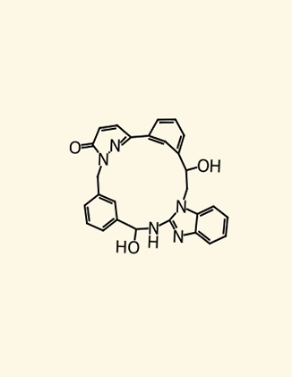 O=c1ccc2nn1Cc1cccc(c1)C(O)Nc1nc3ccccc3n1CC(O)c1cccc-2c1